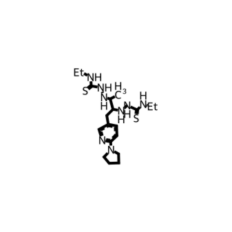 CCNC(=S)NNC(C)C(Cc1ccc(N2CCCC2)nc1)NNC(=S)NCC